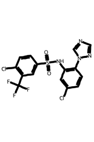 O=S(=O)(Nc1cc(Cl)ccc1-n1cncn1)c1ccc(Cl)c(C(F)(F)F)c1